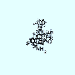 C[C@H]1CN2CCC[C@@]2(COc2nc3c4c(c(Cl)c(-c5ccc(F)c6sc(N)c(C#N)c56)c(F)c4n2)OC2COCCC2N3CC(F)F)C1